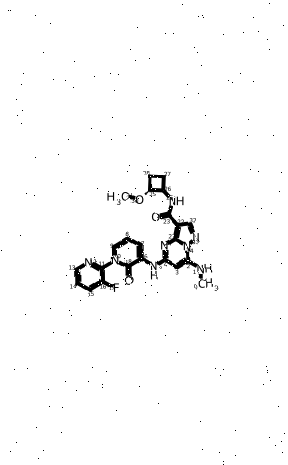 CNc1cc(Nc2cccn(-c3ncccc3F)c2=O)nc2c(C(=O)NC3CC[C@H]3OC)cnn12